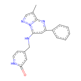 Cc1cnn2c(NCc3cc[nH]c(=O)c3)cc(-c3ccccc3)nc12